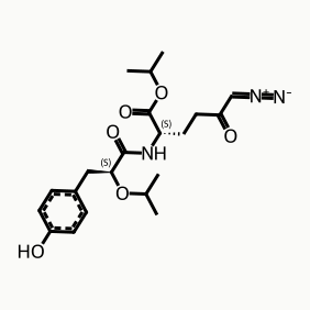 CC(C)OC(=O)[C@H](CCC(=O)C=[N+]=[N-])NC(=O)[C@H](Cc1ccc(O)cc1)OC(C)C